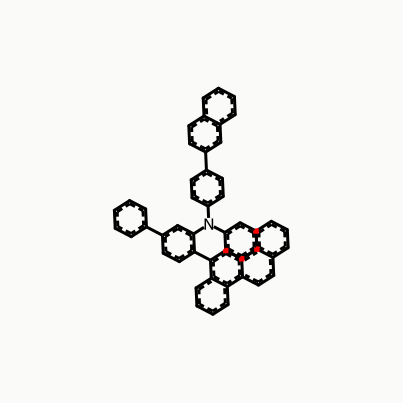 c1ccc(-c2ccc(-c3cc4c5ccccc5ccc4c4ccccc34)c(N(c3ccccc3)c3ccc(-c4ccc5ccccc5c4)cc3)c2)cc1